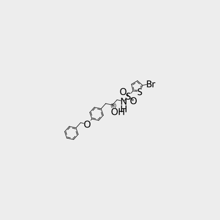 O=S(=O)(NC[C@H](O)Cc1ccc(OCc2ccccc2)cc1)c1ccc(Br)s1